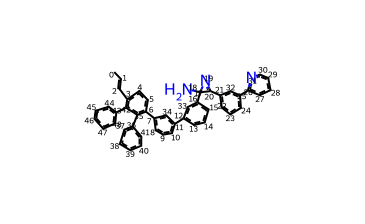 C/C=C/c1ccc(-c2cccc(-c3cccc(C4(N)N=C4c4cccc(-c5ccccn5)c4)c3)c2)c(-c2ccccc2)c1-c1ccccc1